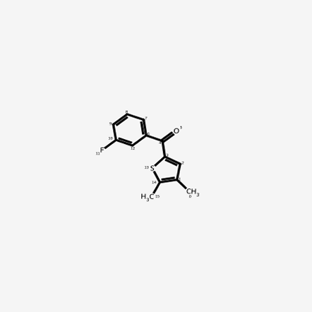 Cc1cc(C(=O)c2cccc(F)c2)sc1C